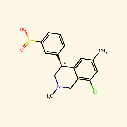 Cc1cc(Cl)c2c(c1)[C@H](c1cccc(S(=O)O)c1)CN(C)C2